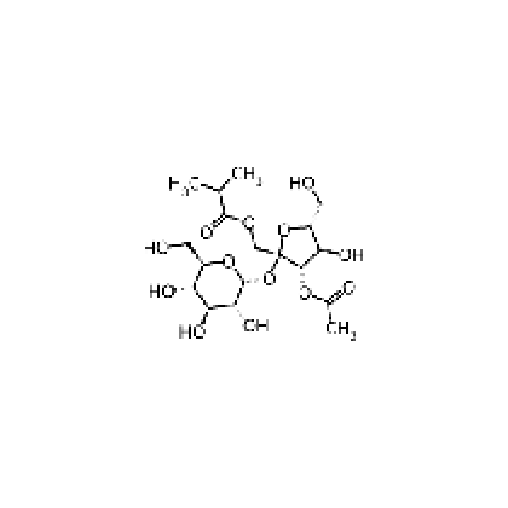 CC(=O)O[C@H]1[C@H](O)[C@@H](CO)O[C@@]1(COC(=O)C(C)C)O[C@H]1O[C@H](CO)[C@@H](O)[C@H](O)[C@H]1O